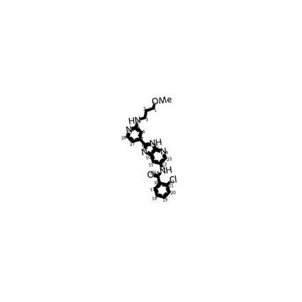 COCCCNc1cc(-c2nc3cc(NC(=O)c4ccccc4Cl)cnc3[nH]2)ccn1